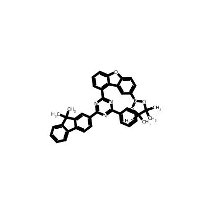 CC1(C)c2ccccc2-c2ccc(-c3nc(-c4ccccc4)nc(-c4cccc5oc6ccc(B7OC(C)(C)C(C)(C)O7)cc6c45)n3)cc21